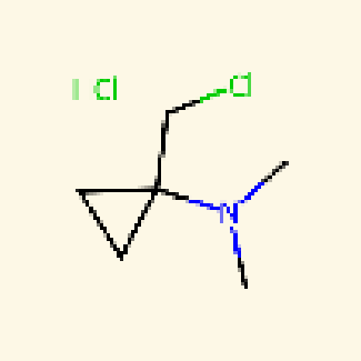 CN(C)C1(CCl)CC1.Cl